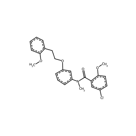 COc1ccccc1CCOc1cccc(N(C)C(=O)c2cc(Cl)ccc2OC)c1